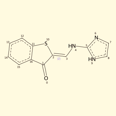 O=C1/C(=C/Nc2ncc[nH]2)Sc2ccccc21